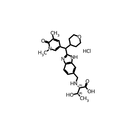 Cc1cc(C(c2nc3ccc(CN[C@H](C(=O)O)[C@@H](C)O)cc3[nH]2)C2CCOCC2)cn(C)c1=O.Cl